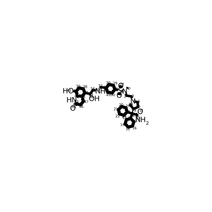 CN(CCN1CC[C@@H](C(C(N)=O)(c2ccccc2)c2ccccc2)C1)S(=O)(=O)c1ccc(CNC[C@H](O)c2ccc(O)c3[nH]c(=O)ccc23)cc1